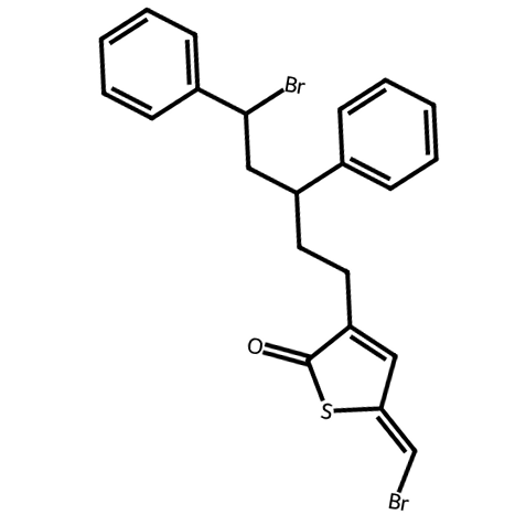 O=C1SC(=CBr)C=C1CCC(CC(Br)c1ccccc1)c1ccccc1